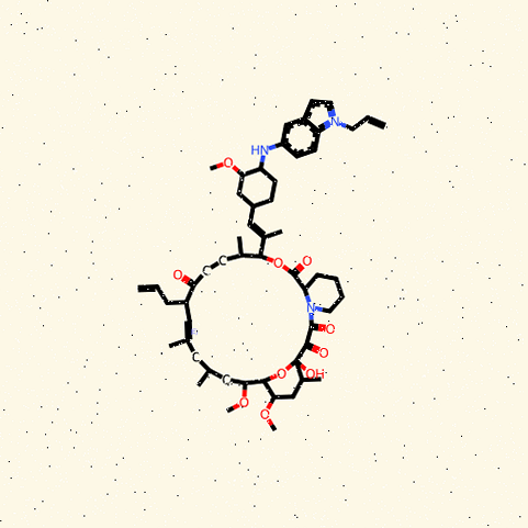 C=CCC1/C=C(\C)CC(C)CC(OC)C2OC(O)(C(=O)C(=O)N3CCCCC3C(=O)OC(C(C)=CC3CCC(Nc4ccc5c(ccn5CC=C)c4)C(OC)C3)C(C)CCC1=O)C(C)CC2OC